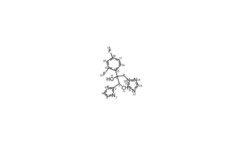 CC(c1nccs1)C(O)(Cn1cncn1)c1ccc(F)cc1F